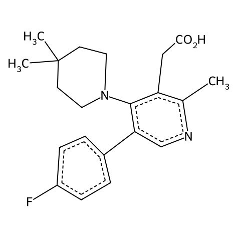 Cc1ncc(-c2ccc(F)cc2)c(N2CCC(C)(C)CC2)c1CC(=O)O